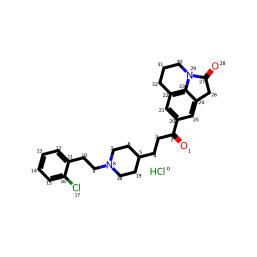 Cl.O=C(CCC1CCN(CCc2ccccc2Cl)CC1)c1cc2c3c(c1)CC(=O)N3CCC2